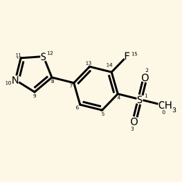 CS(=O)(=O)c1ccc(-c2cn[c]s2)cc1F